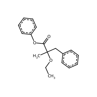 CCOC(C)(Cc1ccccc1)C(=O)Oc1ccccc1